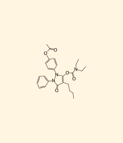 CCCCc1c(OC(=O)N(CC)CC)n(-c2ccc(OC(C)=O)cc2)n(-c2ccccc2)c1=O